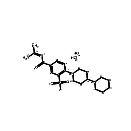 CS(=O)(=O)c1cc(C(=O)N=C(N)N)ccc1N1CCC(N2CCCCC2)CC1.Cl.Cl